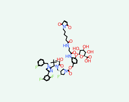 C[C@@H](O)C(=O)N(C[C@@H]1CN(C(=O)OCc2ccc(O[C@@H]3O[C@H](C(=O)O)[C@@H](O)[C@H](O)[C@H]3O)c(NC(=O)CCNC(=O)CCCCCN3C(=O)C=CC3=O)c2)C[C@@H]1F)[C@@H](c1nc(-c2cc(F)ccc2F)cn1Cc1cccc(F)c1)C(C)(C)C